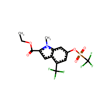 CCOC(=O)c1cc2c(C(F)(F)F)cc(OS(=O)(=O)C(F)(F)F)cc2n1C